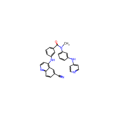 CN(C(=O)c1cccc(Nc2ccnc3ccc(C#N)cc23)c1)c1cccc(Nc2ccncc2)c1